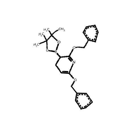 CC1(C)OB(C2CC=C(OCc3ccccc3)N=C2OCc2ccccc2)OC1(C)C